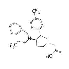 C=C(O)C[C@@H]1CC[C@@H](N(CCC(F)(F)F)Cc2ccccc2)[C@H](c2ccc(C(F)(F)F)cc2)C1